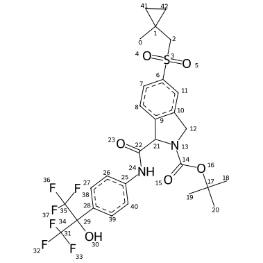 CC1(CS(=O)(=O)c2ccc3c(c2)CN(C(=O)OC(C)(C)C)C3C(=O)Nc2ccc(C(O)(C(F)(F)F)C(F)(F)F)cc2)CC1